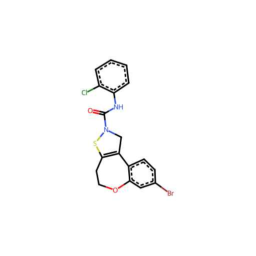 O=C(Nc1ccccc1Cl)N1CC2=C(CCOc3cc(Br)ccc32)S1